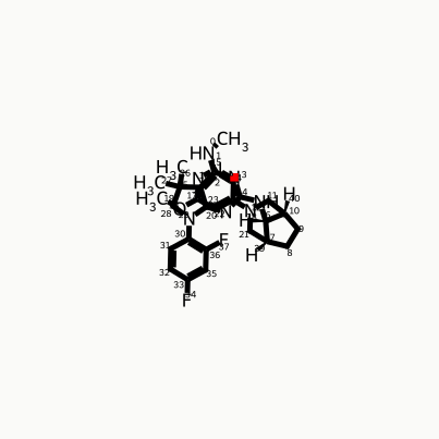 CNc1nc(N[C@H]2[C@@H]3CC[C@H]2CN(c2cnnc(OC)c2)C3)nc2c1C(C)(C)CN2c1ccc(F)cc1F